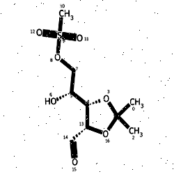 CC1(C)O[C@@H]([C@H](O)COS(C)(=O)=O)[C@@H](C=O)O1